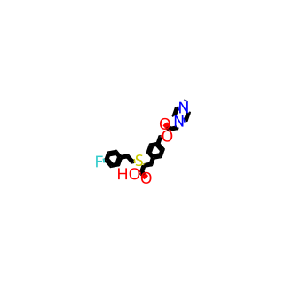 CN1CCN(CC(=O)OCc2ccc(CC(SCCc3ccc(F)cc3)C(=O)O)cc2)CC1